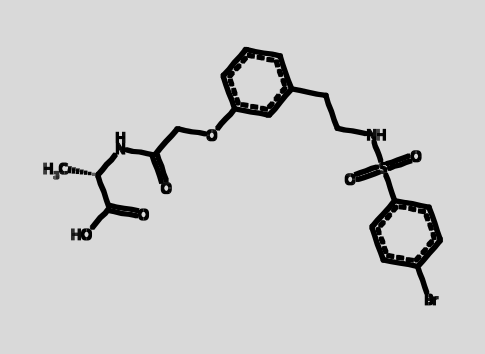 C[C@H](NC(=O)COc1cccc(CCNS(=O)(=O)c2ccc(Br)cc2)c1)C(=O)O